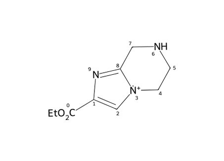 CCOC(=O)C1=C[N+]2CCNCC2=N1